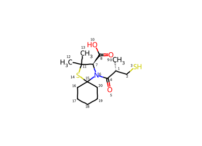 C[C@H](CS)C(=O)N1[C@H](C(=O)O)C(C)(C)SC12CCCCC2